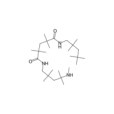 CNC(C)(C)CC(C)(C)CNC(=O)C(C)(C)CC(C)(C)C(=O)NCC(C)(C)CC(C)(C)C